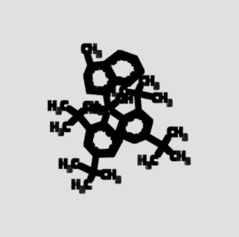 Cc1ccc(P(O)(O)(c2ccc(C(C)(C)C)cc2C(C)(C)C)c2ccc(C(C)(C)C)cc2C(C)(C)C)c2ccccc12